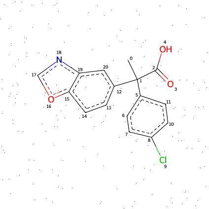 CC(C(=O)O)(c1ccc(Cl)cc1)c1ccc2ocnc2c1